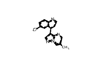 Cc1cnc2c(-c3ccnc4ccc(Cl)cc34)cnn2c1